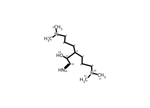 CN(C)CCCC(CCCN(C)C)C(O)C=N